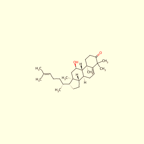 CC(C)=CCC[C@@H](C)[C@H]1CC[C@H]2[C@@H]3CC=C4C(C)(C)C(=O)CC[C@]4(C)[C@H]3[C@H](O)C[C@]12C